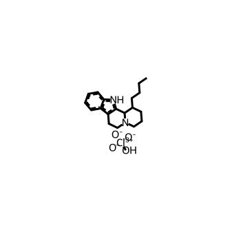 CCCCC1CCCN2CCc3c([nH]c4ccccc34)C12.[O-][Cl+3]([O-])([O-])O